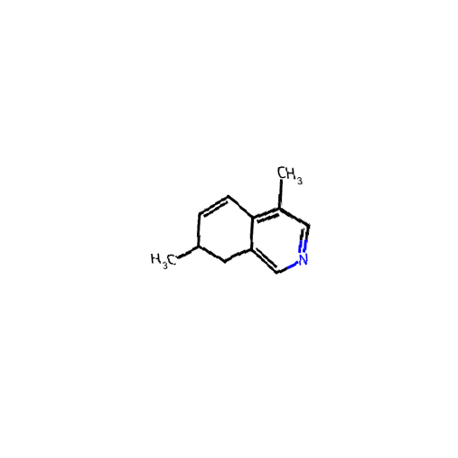 Cc1cncc2c1C=CC(C)C2